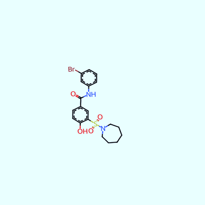 O=C(Nc1cccc(Br)c1)c1ccc(O)c(S(=O)(=O)N2CCCCCC2)c1